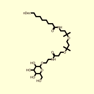 CCCCCCCCCCCCCCCCCC(=O)NCCC(C)(C)OCCC(C)(C)OCCC(=O)NCCOC1OC(CO)C(O)C(O)C1O